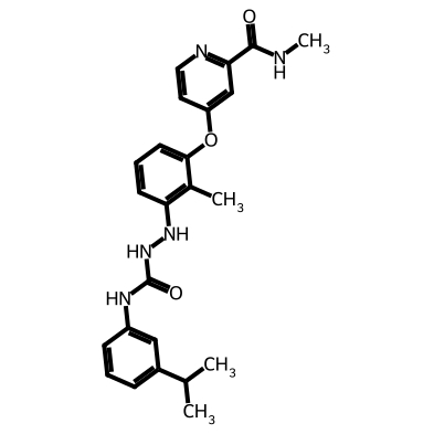 CNC(=O)c1cc(Oc2cccc(NNC(=O)Nc3cccc(C(C)C)c3)c2C)ccn1